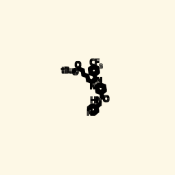 CC(C)(C)OC(=O)CCCCc1nc2cc(C(=O)NCc3ccncc3)ccc2nc1-c1ccc(C(F)(F)F)cc1